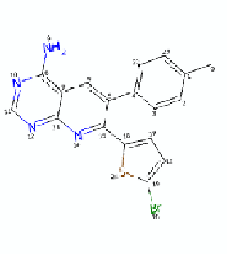 Cc1ccc(-c2cc3c(N)ncnc3nc2-c2ccc(Br)s2)cc1